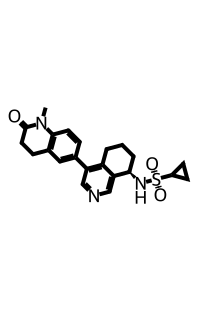 CN1C(=O)CCc2cc(-c3cncc4c3CCC[C@H]4NS(=O)(=O)C3CC3)ccc21